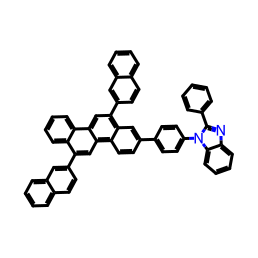 c1ccc(-c2nc3ccccc3n2-c2ccc(-c3ccc4c(c3)c(-c3ccc5ccccc5c3)cc3c5ccccc5c(-c5ccc6ccccc6c5)cc43)cc2)cc1